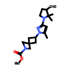 Cc1cc(N2CCC(C=O)C2(C)C)nn1C1CC2(C1)CN(C(=O)OC(C)(C)C)C2